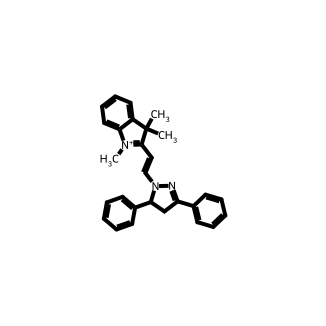 C[N+]1=C(/C=C/N2N=C(c3ccccc3)CC2c2ccccc2)C(C)(C)c2ccccc21